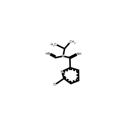 CC(C)N(C=N)C(=N)c1cccc(Cl)n1